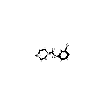 O=C(Oc1cccc(Br)n1)N1CCNCC1